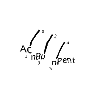 CC(C)=O.CCCCC.CCCCCC